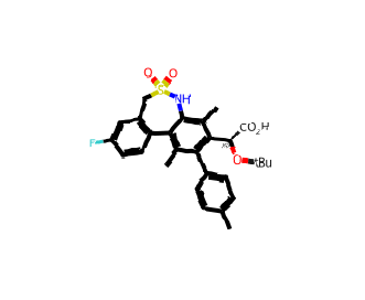 Cc1ccc(-c2c(C)c3c(c(C)c2[C@H](OC(C)(C)C)C(=O)O)NS(=O)(=O)Cc2cc(F)ccc2-3)cc1